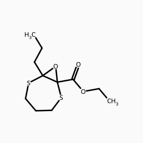 CCCC12OC1(C(=O)OCC)SCCCS2